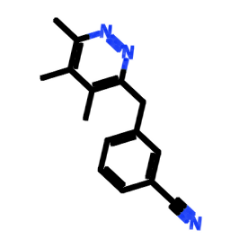 Cc1nnc(Cc2cccc(C#N)c2)c(C)c1C